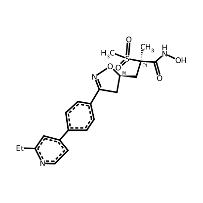 CCc1cc(-c2ccc(C3=NO[C@@H](C[C@](C)(C(=O)NO)S(C)(=O)=O)C3)cc2)ccn1